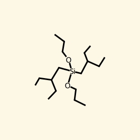 CCCO[Si](CC(CC)CC)(CC(CC)CC)OCCC